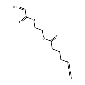 C=CC(=O)OCCOC(=O)CCCN=C=O